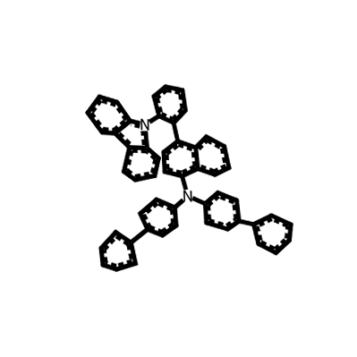 c1ccc(-c2ccc(N(c3ccc(-c4ccccc4)cc3)c3ccc(-c4ccccc4-n4c5ccccc5c5ccccc54)c4ccccc34)cc2)cc1